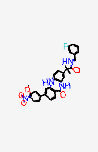 COc1cc(-c2ccc3c(c2)Nc2ccc(C(C)(C)C(=O)NCc4cccc(F)c4)cc2NC3=O)ccc1[N+](=O)[O-]